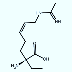 CC[C@](N)(CC/C=C\CNC(C)=N)C(=O)O